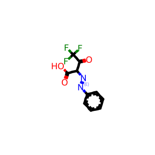 O=C(O)C(/N=N/c1ccccc1)C(=O)C(F)(F)F